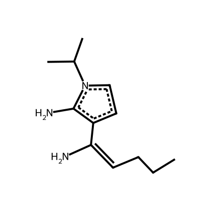 CCC/C=C(/N)c1ccn(C(C)C)c1N